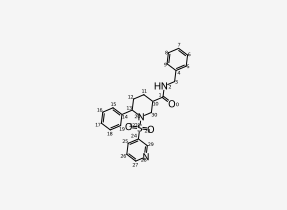 O=C(NCc1ccccc1)C1CCC(c2ccccc2)N(S(=O)(=O)c2cccnc2)C1